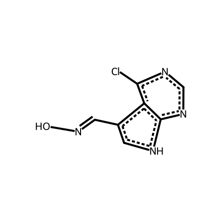 ON=Cc1c[nH]c2ncnc(Cl)c12